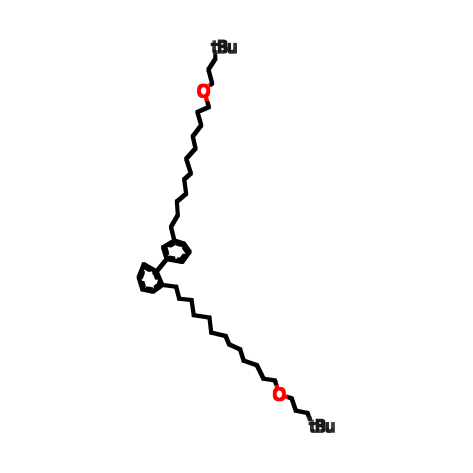 CC(C)(C)CCCOCCCCCCCCCCCCCc1ccccc1-c1cccc(CCCCCCCCCCCCOCCCC(C)(C)C)c1